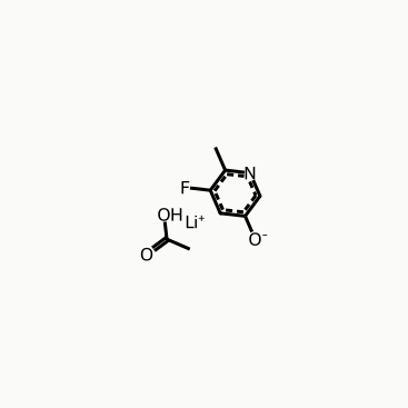 CC(=O)O.Cc1ncc([O-])cc1F.[Li+]